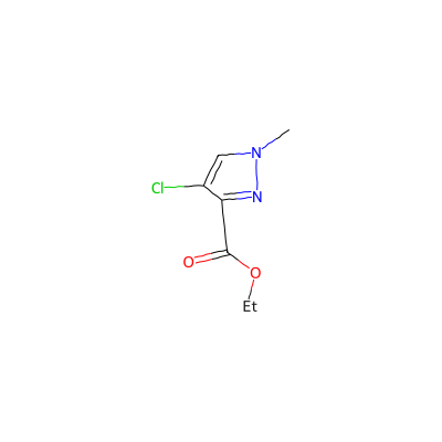 CCOC(=O)c1nn(C)cc1Cl